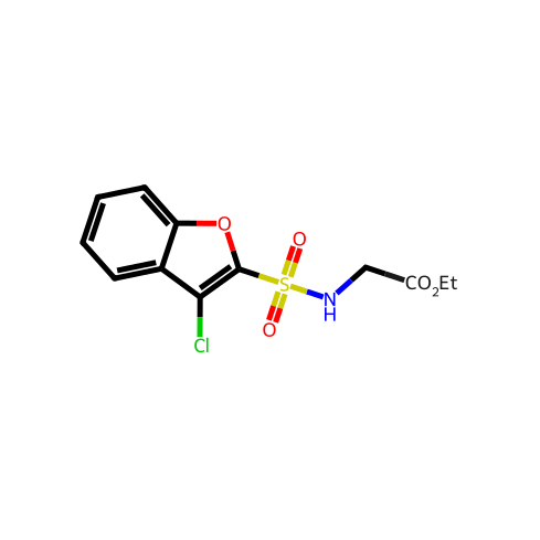 CCOC(=O)CNS(=O)(=O)c1oc2ccccc2c1Cl